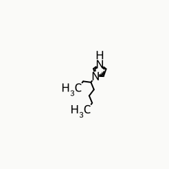 CCCCC(CC)[n+]1cc[nH]c1